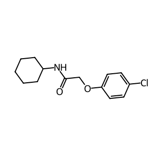 O=C(COc1ccc(Cl)cc1)NC1CCCCC1